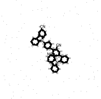 N#Cc1ccc2c(c1)c1ccccc1n2-c1ccc(-c2c(C#N)cc(-c3ccccc3-n3c4ccccc4c4ccccc43)cc2C#N)cc1